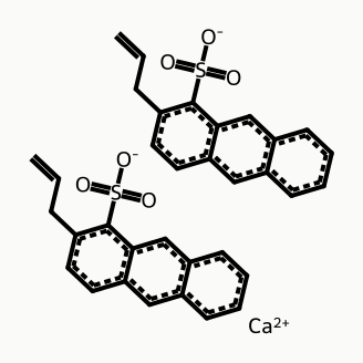 C=CCc1ccc2cc3ccccc3cc2c1S(=O)(=O)[O-].C=CCc1ccc2cc3ccccc3cc2c1S(=O)(=O)[O-].[Ca+2]